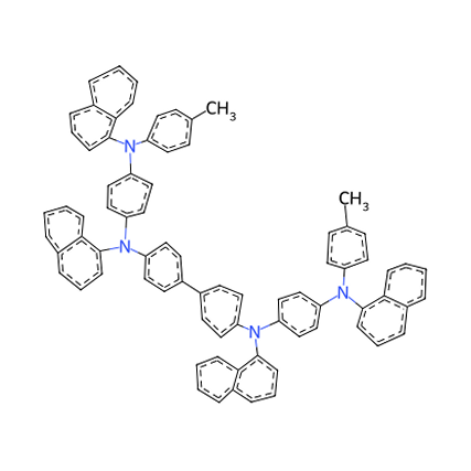 Cc1ccc(N(c2ccc(N(c3ccc(-c4ccc(N(c5ccc(N(c6ccc(C)cc6)c6cccc7ccccc67)cc5)c5cccc6ccccc56)cc4)cc3)c3cccc4ccccc34)cc2)c2cccc3ccccc23)cc1